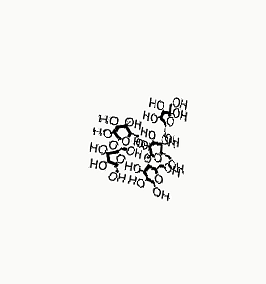 OC[C@H]1O[C@@H](O[C@H]2[C@H](O)[C@@H](O)[C@H](O)O[C@@H]2CO)[C@H](O)[C@@H](O)[C@H]1O.OC[C@H]1O[C@@](CO)(O[C@H]2O[C@H](CO)[C@@H](O)[C@H](O)[C@H]2O)[C@@H](O)[C@@H]1O.OC[C@H]1O[C@](O)(CO)[C@@H](O)[C@@H]1O